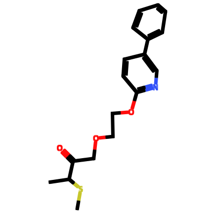 CSC(C)C(=O)COCCOc1ccc(-c2ccccc2)cn1